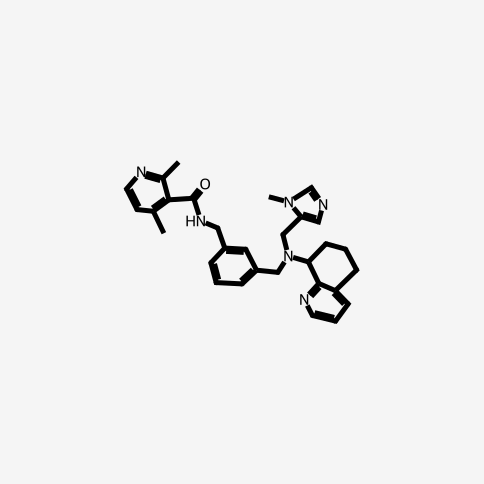 Cc1ccnc(C)c1C(=O)NCc1cccc(CN(Cc2cncn2C)C2CCCc3cccnc32)c1